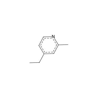 CCc1ccnc(C)c1